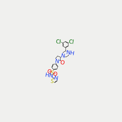 O=C1[C@@H](N2CCNC(c3cc(Cl)cc(Cl)c3)C2)CCN1c1ccc(S(=O)(=O)Nc2nccs2)cc1